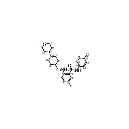 Cc1ccc(NCC2CCN(C3CCOCC3)CC2)c(C(=O)Nc2ccc(Cl)cn2)c1